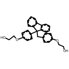 OCCOc1ccc(CC2(c3ccc(OCCO)cc3)c3ccccc3-c3ccccc32)cc1